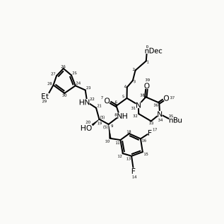 CCCCCCCCCCCCCCC(C(=O)N[C@@H](Cc1cc(F)cc(F)c1)[C@@H](O)CNCc1cccc(CC)c1)N1CCN(CCCC)C(=O)C1=O